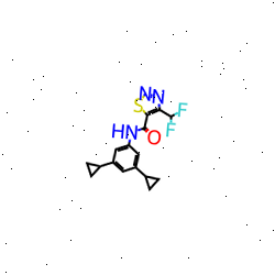 O=C(Nc1cc(C2CC2)cc(C2CC2)c1)c1snnc1C(F)F